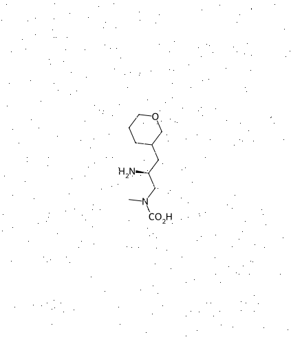 CN(C[C@@H](N)CC1CCCOC1)C(=O)O